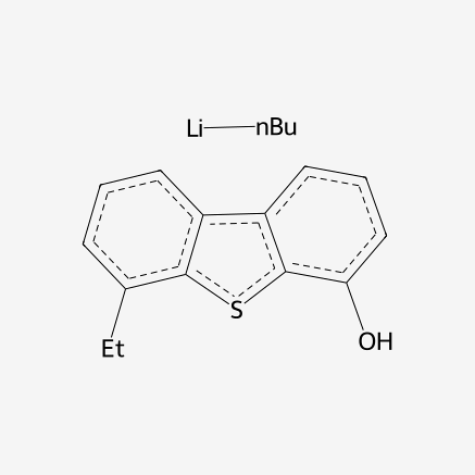 CCc1cccc2c1sc1c(O)cccc12.[Li][CH2]CCC